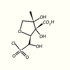 C[C@]1(O)[CH]O[C@H](C(O)S(=O)(=O)Cl)[C@]1(O)C(=O)O